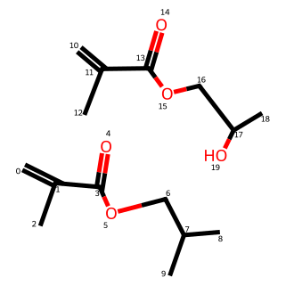 C=C(C)C(=O)OCC(C)C.C=C(C)C(=O)OCC(C)O